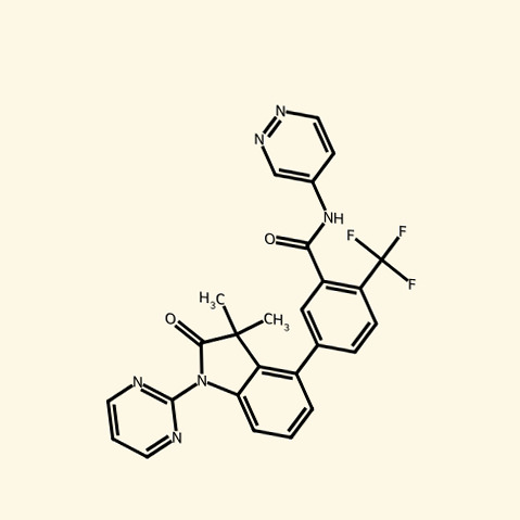 CC1(C)C(=O)N(c2ncccn2)c2cccc(-c3ccc(C(F)(F)F)c(C(=O)Nc4ccnnc4)c3)c21